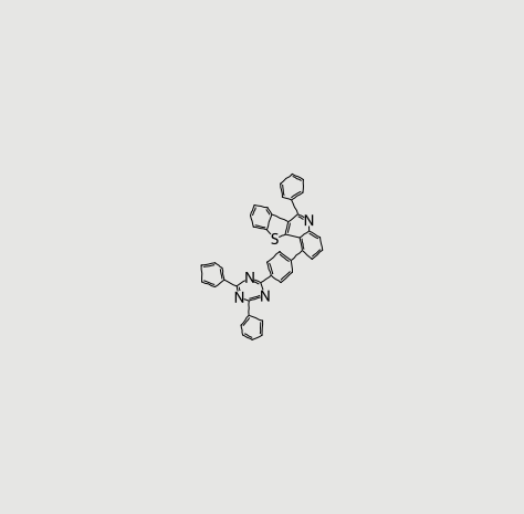 c1ccc(-c2nc(-c3ccccc3)nc(-c3ccc(-c4cccc5nc(-c6ccccc6)c6c7ccccc7sc6c45)cc3)n2)cc1